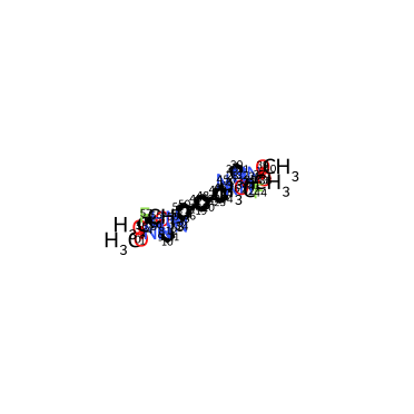 COC(=O)N[C@H](C(=O)N1CCC[C@H]1c1nc2cc(-c3ccc(-c4ccc5[nH]c([C@@H]6CCCN6C(=O)[C@@H](NC(=O)OC)C(C)(C)F)nc5c4)cc3)ccc2[nH]1)C(C)(C)F